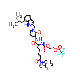 CC(C)Cc1cccc2cc(Cn3cccc(NC(=O)[C@H](CC/C=C/C(=O)N(C)C)NC(=O)OCCOC(=O)C(F)(F)F)c3=O)[nH]c12